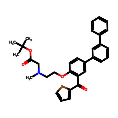 CN(CCOc1ccc(-c2cccc(-c3ccccc3)c2)cc1C(=O)c1cccs1)CC(=O)OC(C)(C)C